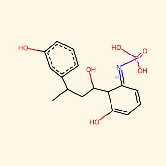 CC(CC(O)C1C(O)=CC=C/C1=N\P(=O)(O)O)c1cccc(O)c1